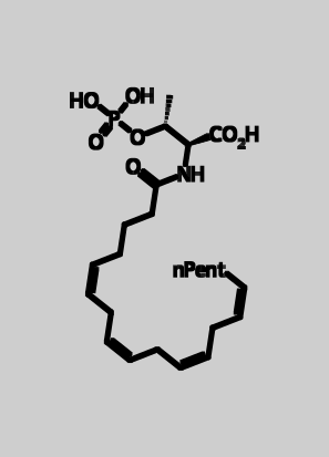 CCCCC/C=C\C/C=C\C/C=C\C/C=C\CCCC(=O)N[C@H](C(=O)O)[C@@H](C)OP(=O)(O)O